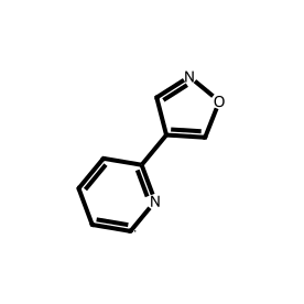 [c]1cccc(-c2cnoc2)n1